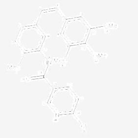 COc1ccc(/C=C\c2cc(OC)c(OC)c(OC)c2)cc1NC(=O)c1ccc(Cl)nc1